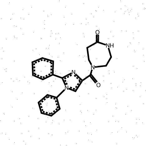 O=C1CCN(C(=O)c2cn(-c3ccccc3)c(-c3ccccc3)n2)CCN1